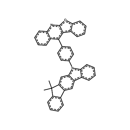 CC1(C)c2ccccc2-c2cc3c4ccccc4n(-c4ccc(-c5c6ccccc6nc6oc7ccccc7c56)cc4)c3cc21